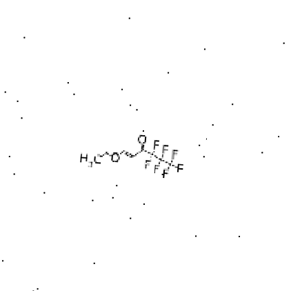 CCOC=CC(=O)C(F)(F)C(F)(F)C(F)(F)F